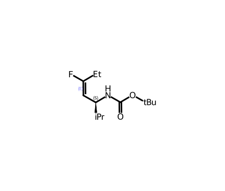 CC/C(F)=C\[C@@H](NC(=O)OC(C)(C)C)C(C)C